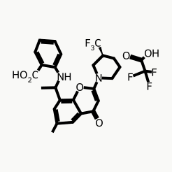 Cc1cc(C(C)Nc2ccccc2C(=O)O)c2oc(N3CCC[C@H](C(F)(F)F)C3)cc(=O)c2c1.O=C(O)C(F)(F)F